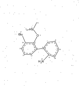 C[SiH](C)Oc1c(-c2ccccc2N)cccc1C(C)(C)C